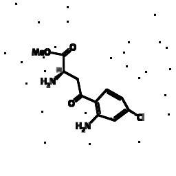 COC(=O)[C@H](N)CC(=O)c1ccc(Cl)cc1N